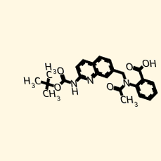 CC(=O)N(Cc1ccc2ccc(NC(=O)OC(C)(C)C)nc2c1)c1ccccc1C(=O)O